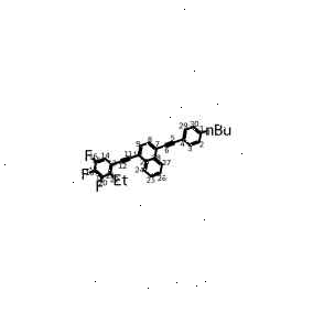 CCCCc1ccc(C#Cc2ccc(C#Cc3cc(F)c(F)c(F)c3CC)c3ccccc23)cc1